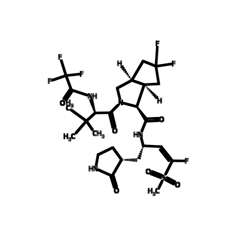 CC(C)(C)[C@@H](NC(=O)C(F)(F)F)C(=O)N1C[C@H]2CC(F)(F)C[C@H]2[C@H]1C(=O)N[C@H](/C=C(/F)S(C)(=O)=O)C[C@H]1CCNC1=O